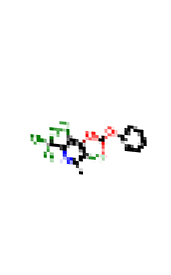 Cc1nc(C(Cl)(Cl)Cl)c(Cl)c(OC(=O)Oc2ccccc2)c1Cl